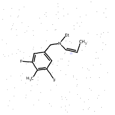 C/C=C\N(CC)Cc1cc(F)c(C)c(F)c1